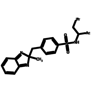 CC(=O)C(CC(C)C)NS(=O)(=O)c1ccc(CC2(C)N=c3ccccc3=N2)cc1